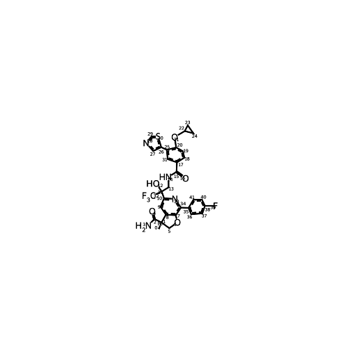 C[C@]1(C(N)=O)COc2c1cc(C(O)(CNC(=O)c1ccc(OC3CC3)c(-c3cncs3)c1)C(F)(F)F)nc2-c1ccc(F)cc1